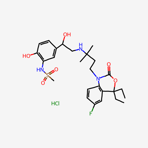 CCC1(CC)OC(=O)N(CCC(C)(C)NCC(O)c2ccc(O)c(NS(C)(=O)=O)c2)c2ccc(F)cc21.Cl